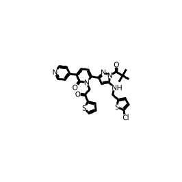 CC(C)(C)C(=O)n1nc(-c2ccc(-c3ccncc3)c(=O)n2CC(=O)c2cccs2)cc1NCc1ccc(Cl)s1